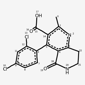 Cc1nc2c(c(-c3ccc(Cl)cc3Cl)c1C(=O)O)C(=O)NCC2